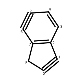 C1#Cc2ccc#cc2C1